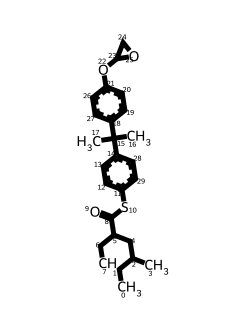 CCC(C)CC(CC)C(=O)Sc1ccc(C(C)(C)c2ccc(OC3CO3)cc2)cc1